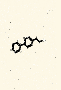 ClCCc1ccc(-c2ccccc2)cc1